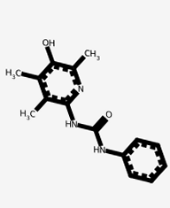 Cc1nc(NC(=O)Nc2ccccc2)c(C)c(C)c1O